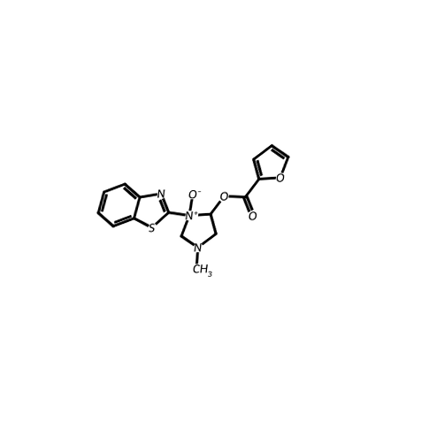 CN1CC(OC(=O)c2ccco2)[N+]([O-])(c2nc3ccccc3s2)C1